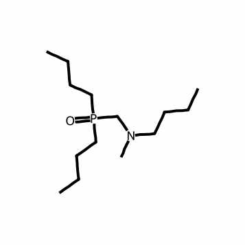 CCCCN(C)CP(=O)(CCCC)CCCC